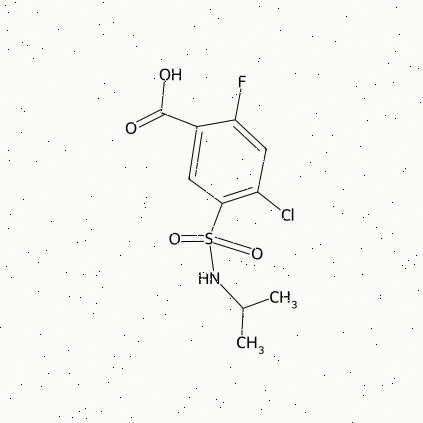 CC(C)NS(=O)(=O)c1cc(C(=O)O)c(F)cc1Cl